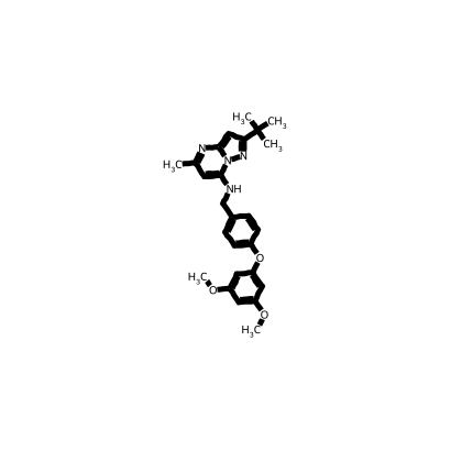 COc1cc(OC)cc(Oc2ccc(CNc3cc(C)nc4cc(C(C)(C)C)nn34)cc2)c1